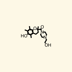 Cc1c(C)c2c(c(C)c1O)CCC(C)(C(=O)N1CCN(CCO)CC1)O2